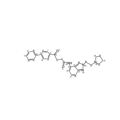 O=C(CCC(=O)c1ccc(-c2ccccc2)cc1)Nc1cccc2nn(CCN3CCCC3)cc12